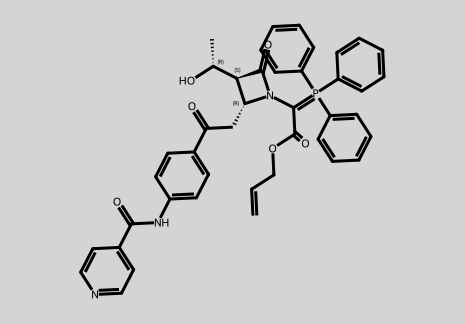 C=CCOC(=O)C(N1C(=O)[C@H]([C@@H](C)O)[C@H]1CC(=O)c1ccc(NC(=O)c2ccncc2)cc1)=P(c1ccccc1)(c1ccccc1)c1ccccc1